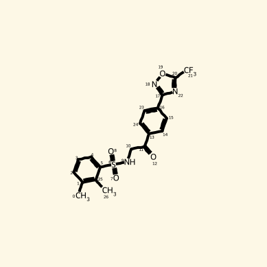 Cc1cccc(S(=O)(=O)NCC(=O)c2ccc(-c3noc(C(F)(F)F)n3)cc2)c1C